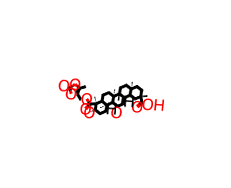 CO[C@H]1CC[C@@]2(C)C(CC[C@]3(C)[C@@H]2C(=O)C=C2[C@@H]4C[C@@](C)(C(=O)O)CC[C@]4(C)CC[C@]23C)[C@]1(C)C(=O)OCc1oc(=O)oc1C